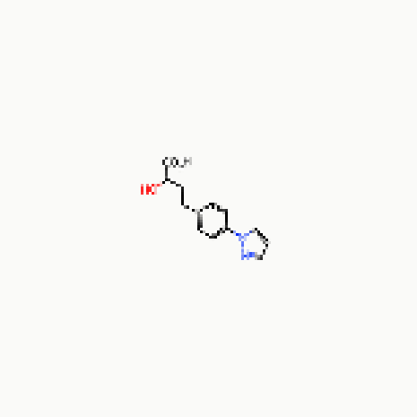 O=C(O)C(O)CCc1ccc(-n2cccn2)cc1